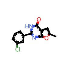 Cc1cc2c(=O)[nH]c(-c3cccc(Cl)c3)nc2o1